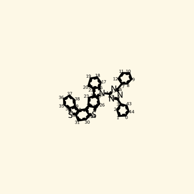 c1ccc(-c2nc(-c3ccccc3)nc(-n3c4ccccc4c4cc5c(cc43)sc3ccc4sc6ccccc6c4c35)n2)cc1